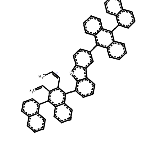 C=Cc1c(/C=C\C)c(-c2cccc3c2sc2ccc(-c4c5ccccc5c(-c5cccc6ccccc56)c5ccccc45)cc23)c2ccccc2c1-c1cccc2ccccc12